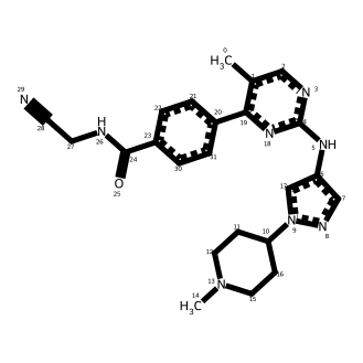 Cc1cnc(Nc2cnn(C3CCN(C)CC3)c2)nc1-c1ccc(C(=O)NCC#N)cc1